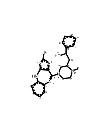 CC(C)c1nc2c(s1)Nc1ccccc1N=C2N1CCN(C)C(CC(O)c2ccccc2)C1